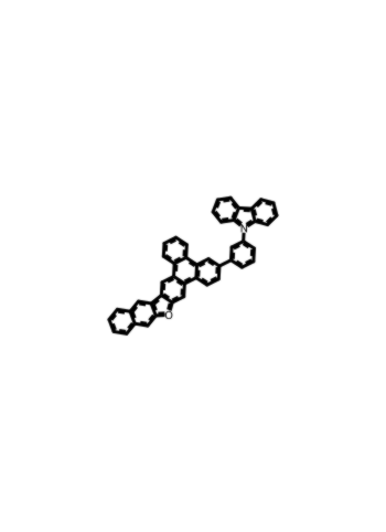 c1cc(-c2ccc3c(c2)c2ccccc2c2cc4c(cc32)oc2cc3ccccc3cc24)cc(-n2c3ccccc3c3ccccc32)c1